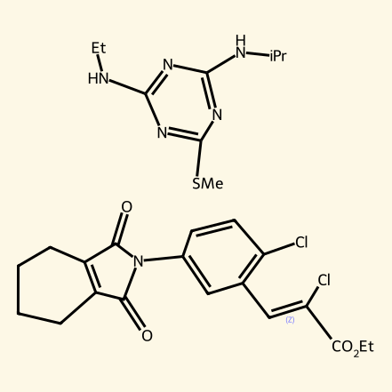 CCNc1nc(NC(C)C)nc(SC)n1.CCOC(=O)/C(Cl)=C/c1cc(N2C(=O)C3=C(CCCC3)C2=O)ccc1Cl